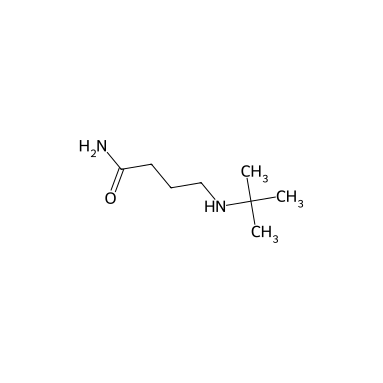 CC(C)(C)NCCCC(N)=O